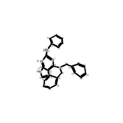 [c]1cccc(Nc2nc(N(Cc3ccccc3)Cc3ccccc3)c3nc[nH]c3n2)c1